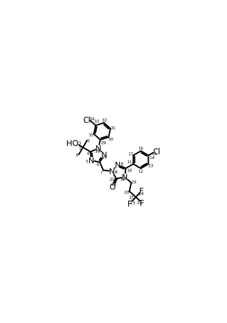 CC(C)(O)c1nc(Cn2nc(-c3ccc(Cl)cc3)n(CCC(F)(F)F)c2=O)nn1-c1cccc(Cl)c1